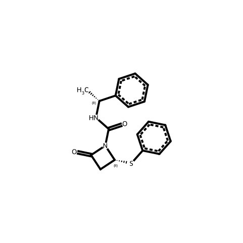 C[C@@H](NC(=O)N1C(=O)C[C@H]1Sc1ccccc1)c1ccccc1